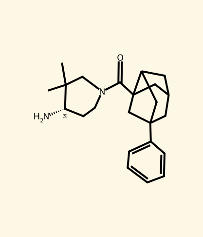 CC1(C)CN(C(=O)C23CC4CC2CC(c2ccccc2)(C4)C3)CC[C@@H]1N